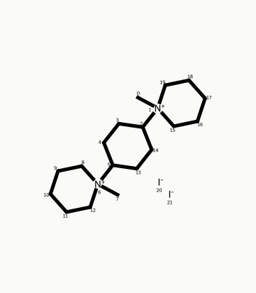 C[N+]1(C2CCC([N+]3(C)CCCCC3)CC2)CCCCC1.[I-].[I-]